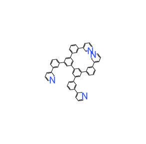 c1cncc(-c2cccc(-c3cc(-c4cccc(-c5cccnc5)c4)cc(-c4cc(-c5cccc(-c6cccnc6)c5)cc(-c5cccc(-c6cccnc6)c5)c4)c3)c2)c1